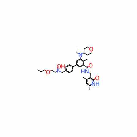 CCCOCCN(O)Cc1ccc(-c2cc(C(=O)NCc3c(C)cc(C)[nH]c3=O)c(C)c(N(CC)C3CCOCC3)c2)cc1